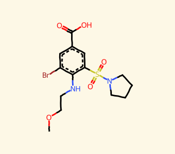 COCCNc1c(Br)cc(C(=O)O)cc1S(=O)(=O)N1CCCC1